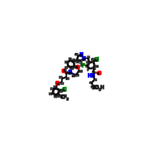 O=C(NCCS(=O)(=O)O)c1cc(F)c(Cn2cc(-c3cccc4c3OCCCN4C(=O)CCCOc3cccc(C(F)(F)F)c3Cl)cn2)c(Cl)c1